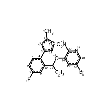 Cc1nc(-c2ccc(F)cc2C(C)Oc2cc(Br)cnc2[N+](=O)[O-])cs1